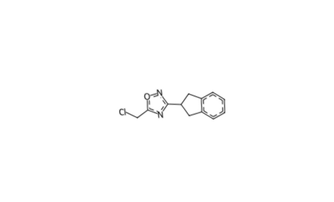 ClCc1nc(C2Cc3ccccc3C2)no1